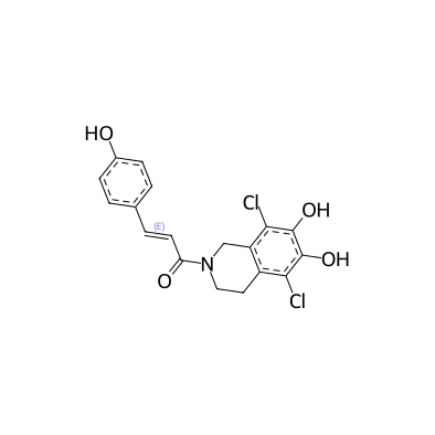 O=C(/C=C/c1ccc(O)cc1)N1CCc2c(Cl)c(O)c(O)c(Cl)c2C1